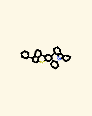 c1ccc(-c2ccc3c4c(cccc24)-c2cc(-c4cccc5c6ccccc6n(-c6ccccc6)c45)ccc2S3)cc1